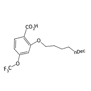 CCCCCCCCCCCCCCOc1cc(OC(F)(F)F)ccc1C(=O)O